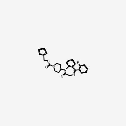 O=C(OCc1ccccc1)N1CCC(N2C(=O)CN=C(c3ccccc3F)c3ccccc32)CC1